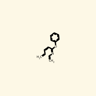 C=C/C=C\C(=N/C=C)Oc1ccccc1